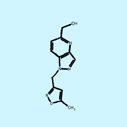 Cc1cc(Cn2ncc3nc(CO)ccc32)no1